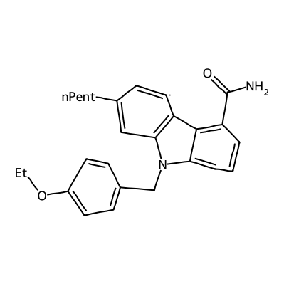 CCCCCc1c[c]c2c3c(C(N)=O)cccc3n(Cc3ccc(OCC)cc3)c2c1